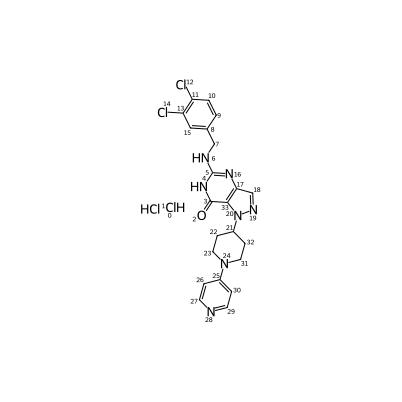 Cl.Cl.O=c1[nH]c(NCc2ccc(Cl)c(Cl)c2)nc2cnn(C3CCN(c4ccncc4)CC3)c12